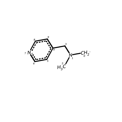 [CH2]N(C)Cc1ccncc1